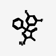 CN1C(=O)C(c2ccccc2)(c2cc(F)cc(F)c2)N=C1N